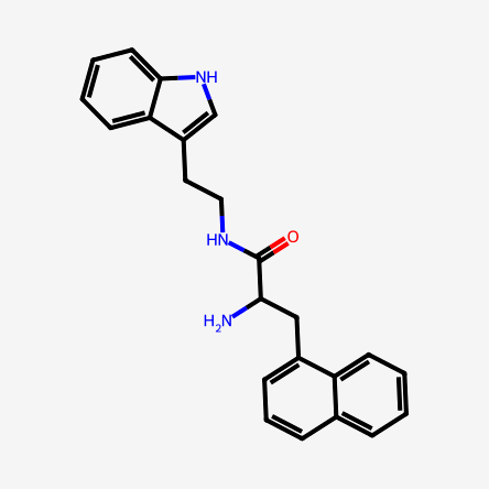 NC(Cc1cccc2ccccc12)C(=O)NCCc1c[nH]c2ccccc12